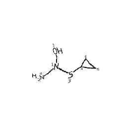 NN(O)SC1CC1